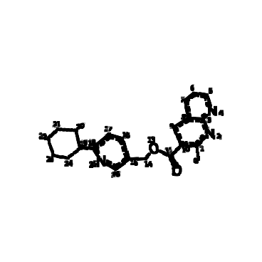 Cc1nc2ncccc2cc1C(=O)OCc1ccc(C2CCCCC2)nc1